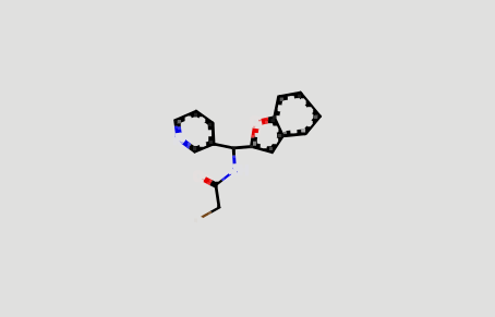 O=C(CBr)NC(c1cccnc1)c1cc2ccccc2o1